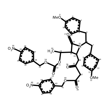 COc1ccc(CC(Cc2ccc(OC)cc2)N2C(=O)C(C(C)OC(=O)OCc3ccc([N+](=O)[O-])cc3)C2CC(=O)CC(=O)OCc2ccc([N+](=O)[O-])cc2)cc1